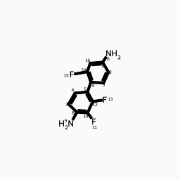 Nc1ccc(-c2ccc(N)c(F)c2F)c(F)c1